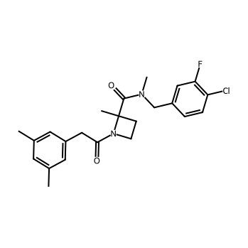 Cc1cc(C)cc(CC(=O)N2CCC2(C)C(=O)N(C)Cc2ccc(Cl)c(F)c2)c1